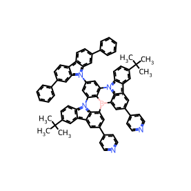 CC(C)(C)c1ccc2c(c1)c1cc(-c3ccncc3)cc3c1n2-c1cc(-n2c4cc(-c5ccccc5)ccc4c4ccc(-c5ccccc5)cc42)cc2c1B3c1cc(-c3ccncc3)cc3c4cc(C(C)(C)C)ccc4n-2c13